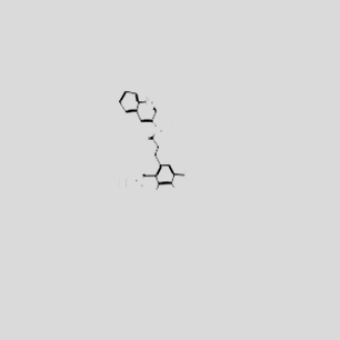 NC(=O)c1c(C[CH]C(=O)Nc2cnc3ccccc3c2)cc(F)c(F)c1F